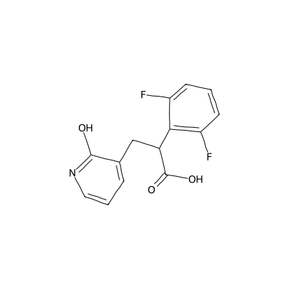 O=C(O)C(Cc1cccnc1O)c1c(F)cccc1F